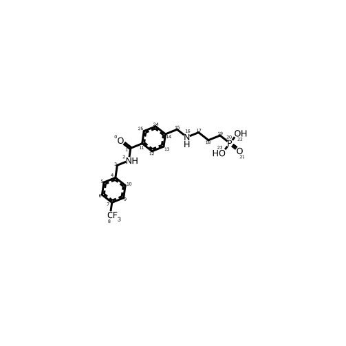 O=C(NCc1ccc(C(F)(F)F)cc1)c1ccc(CNCCCP(=O)(O)O)cc1